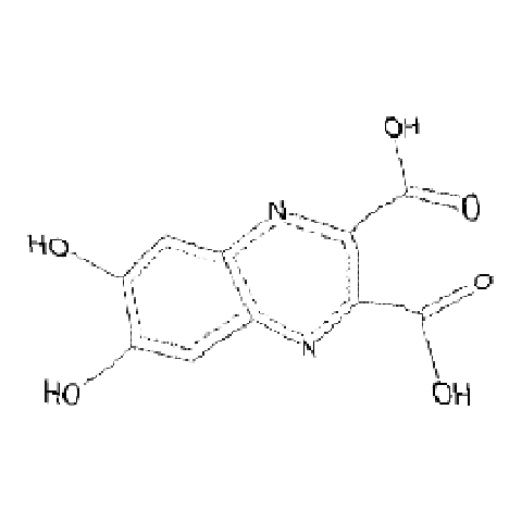 O=C(O)c1nc2cc(O)c(O)cc2nc1C(=O)O